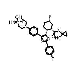 N#CC1(NC(=O)[C@@H]2C[C@@H](F)CC[C@H]2c2nc(-c3ccc(F)cc3)sc2-c2ccc(N3CC[SH](=N)(O)CC3)cc2)CC1